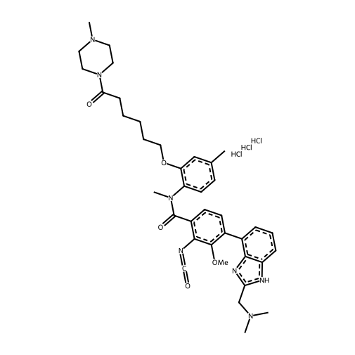 COc1c(-c2cccc3[nH]c(CN(C)C)nc23)ccc(C(=O)N(C)c2ccc(C)cc2OCCCCCC(=O)N2CCN(C)CC2)c1N=C=O.Cl.Cl.Cl